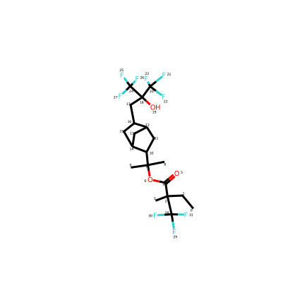 CCC(C)(C(=O)OC(C)(C)C1CC2CC1CC2CC(O)(C(F)(F)F)C(F)(F)F)C(F)(F)F